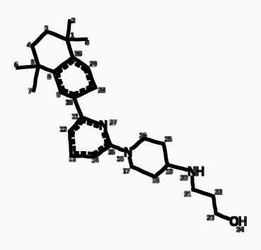 CC1(C)CCC(C)(C)c2cc(-c3cccc(N4CCC(NCCCO)CC4)n3)ccc21